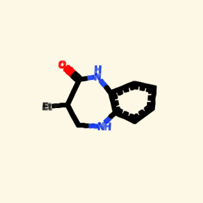 CCC1CNc2ccccc2NC1=O